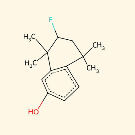 CC1(C)CC(F)C(C)(C)c2cc(O)ccc21